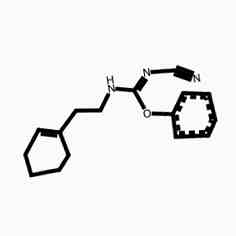 N#C/N=C(/NCCC1=CCCCC1)Oc1ccccc1